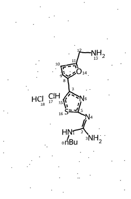 CCCCNC(N)=Nc1nc(-c2ccc(CN)o2)cs1.Cl.Cl